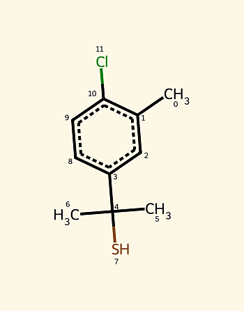 Cc1cc(C(C)(C)S)ccc1Cl